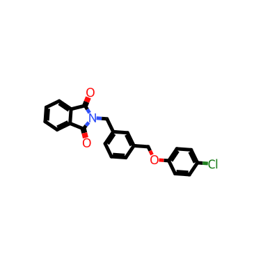 O=C1c2ccccc2C(=O)N1Cc1cccc(COc2ccc(Cl)cc2)c1